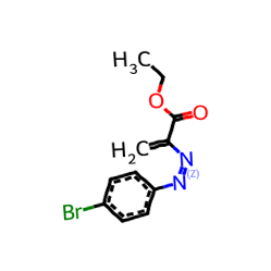 C=C(/N=N\c1ccc(Br)cc1)C(=O)OCC